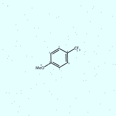 [C]Oc1ccc(C(F)(F)F)cc1